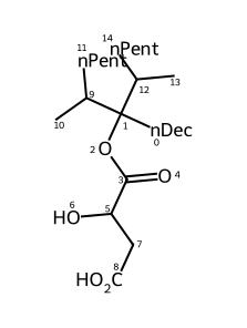 CCCCCCCCCCC(OC(=O)C(O)CC(=O)O)(C(C)CCCCC)C(C)CCCCC